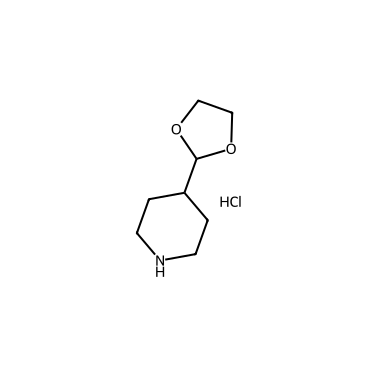 C1CC(C2OCCO2)CCN1.Cl